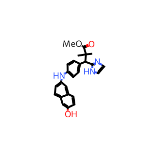 COC(=O)C(C)(C)C(c1ccc(Nc2ccc3cc(O)ccc3c2)cc1)c1ncc[nH]1